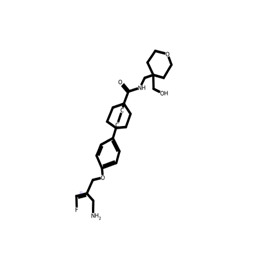 NC/C(=C\F)COc1ccc(C23CCC(C(=O)NCC4(CO)CCOCC4)(CC2)CC3)cc1